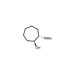 CN[C@H]1CCCCC[C@@H]1O